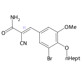 CCCCCCCOc1c(Br)cc(/C=C(\C#N)C(N)=O)cc1OC